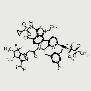 C[C@@H]1c2c(C(F)F)nn(CC(=O)N[C@@H](Cc3cc(F)cc(F)c3)c3nc(C#CC(C)(C)S(C)(=O)=O)ccc3-c3ccc(Cl)c4c(NS(=O)(=O)C5CC5)nn(CC(F)(F)F)c34)c2C(F)(F)[C@@H]1C